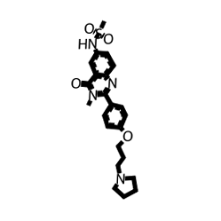 Cn1c(-c2ccc(OCCCN3CCCC3)cc2)nc2ccc(NS(C)(=O)=O)cc2c1=O